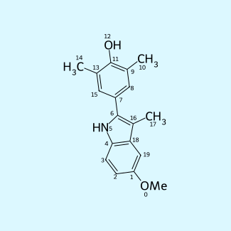 COc1ccc2[nH]c(-c3cc(C)c(O)c(C)c3)c(C)c2c1